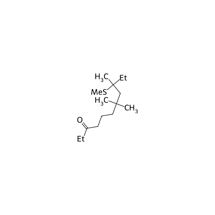 CCC(=O)CCCC(C)(C)CC(C)(CC)SC